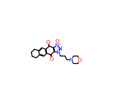 O=C1c2cc3c(cc2C(=O)c2c1n(CCCN1CCOCC1)n[n+]2[O-])CCCC3